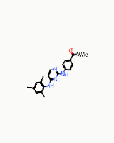 CNC(=O)c1ccc(Nc2nccc(Nc3c(C)cc(C)cc3C)n2)cc1